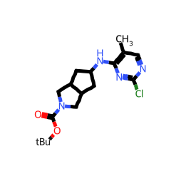 Cc1cnc(Cl)nc1NC1CC2CN(C(=O)OC(C)(C)C)CC2C1